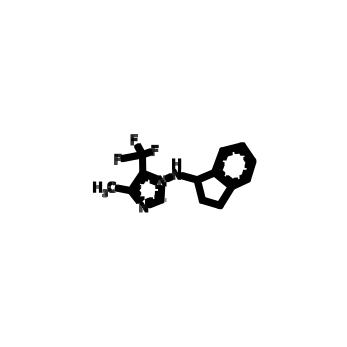 Cc1n[c]n(NC2CCc3ccccc32)c1C(F)(F)F